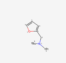 CCCN(Cc1ccco1)C(C)(C)C